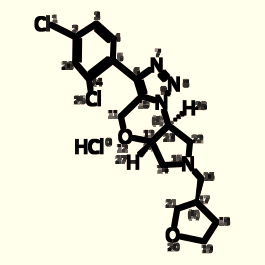 Cl.Clc1ccc(-c2nnn3c2CO[C@H]2CN(C[C@H]4CCOC4)C[C@@H]23)c(Cl)c1